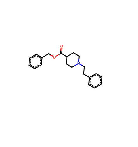 O=C(OCc1ccccc1)C1CCN(CCc2ccccc2)CC1